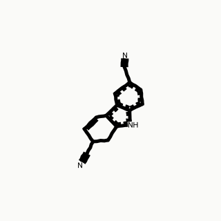 N#Cc1ccc2[nH]c3c(c2c1)C=CC(C#N)C3